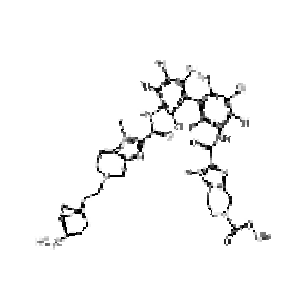 [2H]c1c([2H])c(NC(=O)c2nc3c(n2C)CCN(C(=O)OC(C)(C)C)C3)c(F)c(-c2c([2H])c([2H])c([2H])c(NC(=O)c3nc4c(n3C)CCN(CCC35CCC(C(=O)O)(CC3)C5)C4)c2Cl)c1[2H]